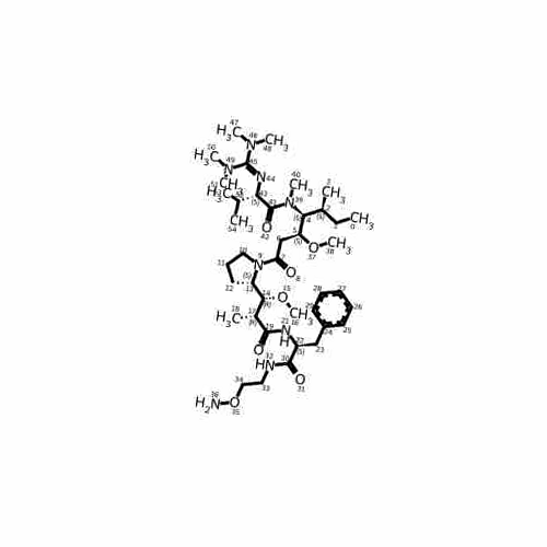 CC[C@H](C)[C@@H]([C@H](CC(=O)N1CCC[C@H]1[C@H](OC)[C@@H](C)C(=O)N[C@@H](Cc1ccccc1)C(=O)NCCON)OC)N(C)C(=O)[C@@H](N=C(N(C)C)N(C)C)C(C)C